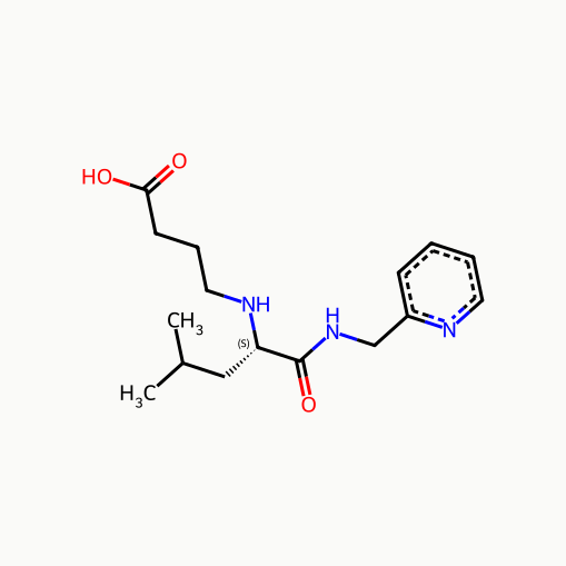 CC(C)C[C@H](NCCCC(=O)O)C(=O)NCc1ccccn1